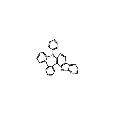 c1ccc(N2c3ccccc3-c3ccccc3-c3c2ccc2c3[nH]c3ccccc32)cc1